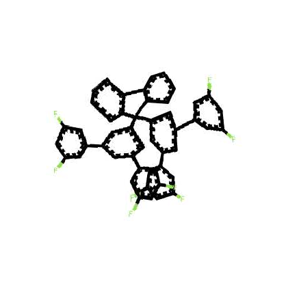 Fc1cc(F)cc(-c2cc(-c3cc(F)cc(F)c3)cc(C3(c4cc(-c5cc(F)cc(F)c5)cc(-c5cc(F)cc(F)c5)c4)c4ccccc4-c4ccccc43)c2)c1